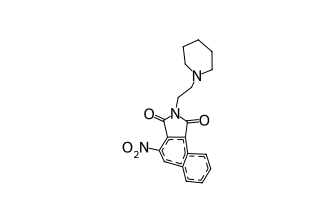 O=C1c2c([N+](=O)[O-])cc3ccccc3c2C(=O)N1CCN1CCCCC1